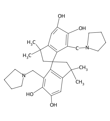 CC1(C)CC2(CC(C)(C)c3cc(O)c(O)c(CN4CCCC4)c32)c2c1cc(O)c(O)c2CN1CCCC1